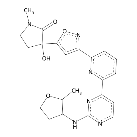 CC1OCCC1Nc1nccc(-c2cccc(-c3cc(C4(O)CCN(C)C4=O)on3)n2)n1